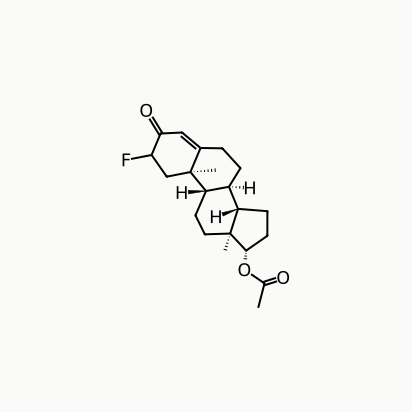 CC(=O)O[C@H]1CC[C@H]2[C@@H]3CCC4=CC(=O)C(F)C[C@]4(C)[C@H]3CC[C@]12C